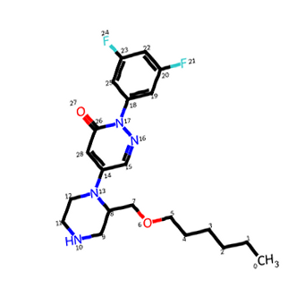 CCCCCCOCC1CNCCN1c1cnn(-c2cc(F)cc(F)c2)c(=O)c1